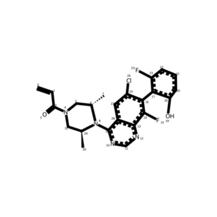 C=CC(=O)N1C[C@H](C)N(c2ncnc3c(F)c(-c4c(O)cccc4F)c(Cl)cc23)[C@@H](C)C1